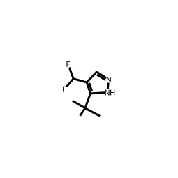 CC(C)(C)c1[nH]ncc1C(F)F